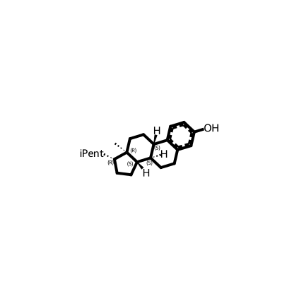 CCCC(C)[C@H]1CC[C@H]2[C@@H]3CCc4cc(O)ccc4[C@H]3CC[C@]12C